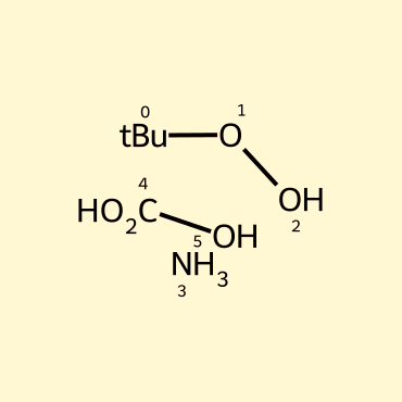 CC(C)(C)OO.N.O=C(O)O